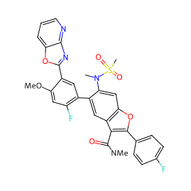 CNC(=O)c1c(-c2ccc(F)cc2)oc2cc(N(C)S(C)(=O)=O)c(-c3cc(-c4nc5ncccc5o4)c(OC)cc3F)cc12